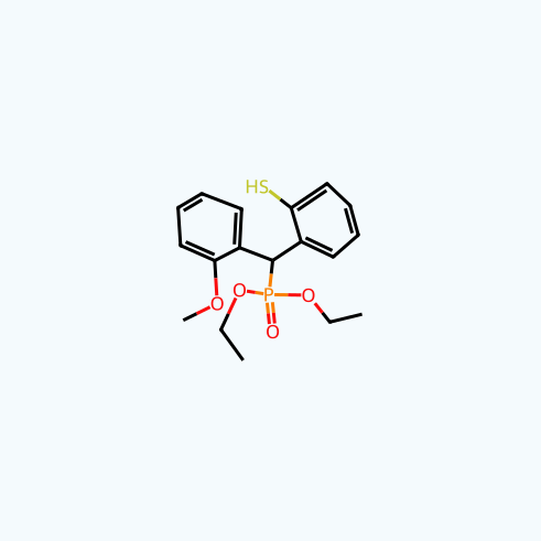 CCOP(=O)(OCC)C(c1ccccc1S)c1ccccc1OC